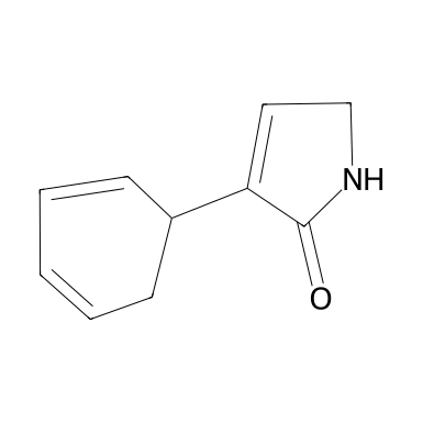 O=C1NCC=C1C1C=CC=CC1